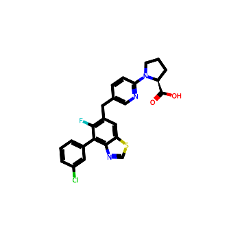 O=C(O)[C@@H]1CCCN1c1ccc(Cc2cc3scnc3c(-c3cccc(Cl)c3)c2F)cn1